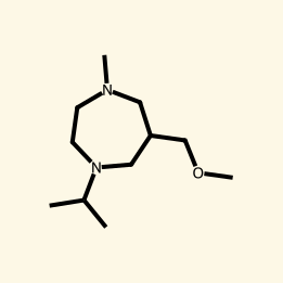 COCC1CN(C)CCN(C(C)C)C1